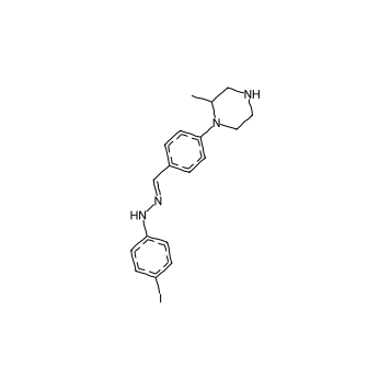 CC1CNCCN1c1ccc(/C=N/Nc2ccc(I)cc2)cc1